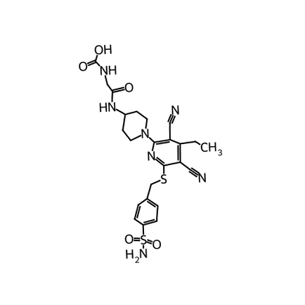 CCc1c(C#N)c(SCc2ccc(S(N)(=O)=O)cc2)nc(N2CCC(NC(=O)CNC(=O)O)CC2)c1C#N